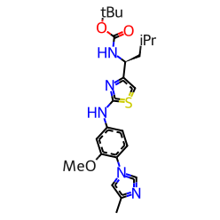 COc1cc(Nc2nc([C@H](CC(C)C)NC(=O)OC(C)(C)C)cs2)ccc1-n1cnc(C)c1